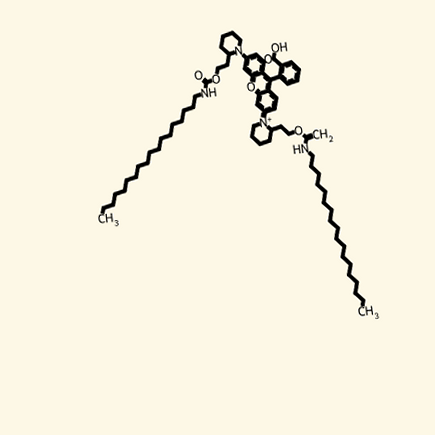 C=C(NCCCCCCCCCCCCCCCCCC)OCCC1CCCC/[N+]1=c1/ccc2c(-c3ccccc3C(=O)O)c3ccc(N4CCCCC4CCOC(=O)NCCCCCCCCCCCCCCCCCC)cc3oc-2c1